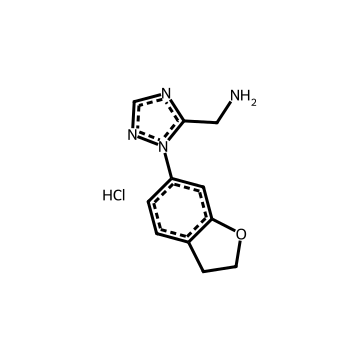 Cl.NCc1ncnn1-c1ccc2c(c1)OCC2